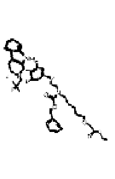 CCOC(=O)COCCCCCN(CCOc1cc(F)c([C@@H]2c3[nH]c4ccccc4c3C[C@@H](C)N2CC(C)(C)F)c(F)c1)C(=O)OCc1ccccc1